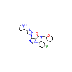 O=c1c2c(-n3cc(C4CCCN4)nn3)ncn2c2ccc(F)cc2n1CC1CCCCO1